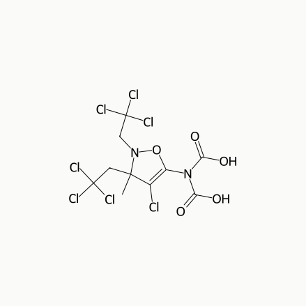 CC1(CC(Cl)(Cl)Cl)C(Cl)=C(N(C(=O)O)C(=O)O)ON1CC(Cl)(Cl)Cl